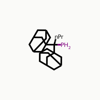 CCCC(P)(C12CC3CC(CC(C3)C1)C2)C12CC3CC(CC(C3)C1)C2